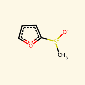 C[S+]([O-])c1ccco1